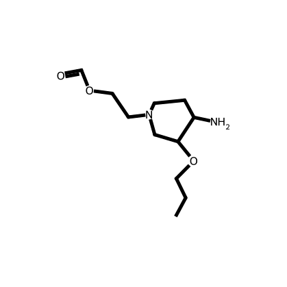 CCCOC1CN(CCOC=O)CCC1N